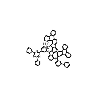 CC1(C)c2c(ccc3c4ccccc4c4ccccc4c23)-c2ccc3c4c(N(c5cccc(-c6ccccc6)c5)c5ccc6c7ccccc7c7ccccc7c6c5)cccc4n(-c4cc(-c5nc(-c6ccccc6)nc(-c6ccccc6)n5)ccn4)c3c21